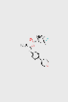 CN[C@@H](CC(C)(C)F)C(=O)O[C@H](Cc1ccc(C2=CCOCC2)cc1)C(=O)O